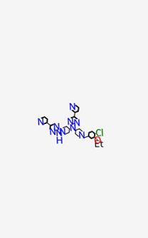 CCOc1cc(CN2CCC(N(c3ncc(-c4cccnc4)cn3)C3CCN(Nc4ncc(-c5cccnc5)cn4)CC3)CC2)ccc1Cl